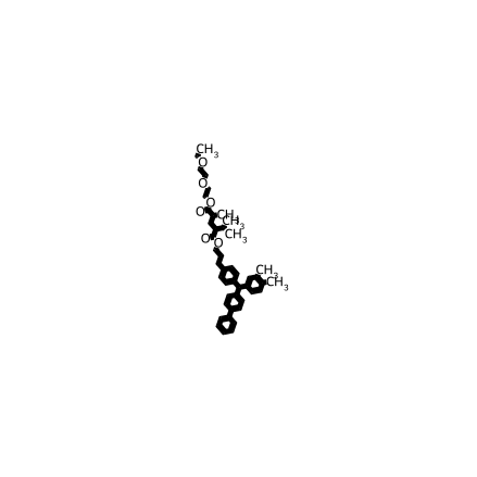 CCOCCOCCOC(=O)C(C)CC(C(=O)OCCCc1ccc(C(c2ccc(-c3ccccc3)cc2)c2ccc(C)c(C)c2)cc1)C(C)C